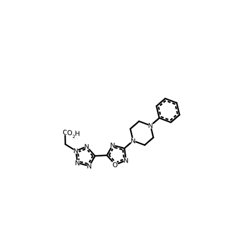 O=C(O)Cn1nnc(-c2nc(N3CCN(c4ccccc4)CC3)no2)n1